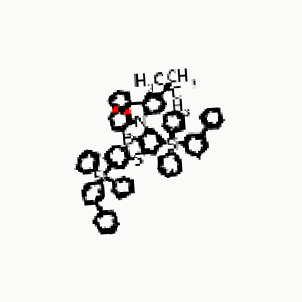 CC(C)(C)c1ccc(N2c3ccccc3B3c4ccc([Si](c5ccccc5)(c5ccccc5)c5cccc(-c6ccccc6)c5)cc4Sc4cc([Si](c5ccccc5)(c5ccccc5)c5cccc(-c6ccccc6)c5)cc2c43)c(-c2ccccc2)c1